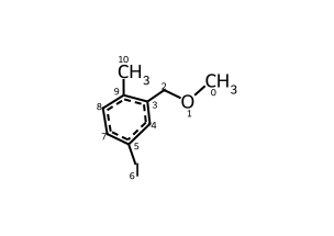 COCc1cc(I)ccc1C